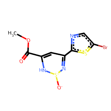 COC(=O)C1=CC(c2ncc(Br)s2)=N[S+]([O-])N1